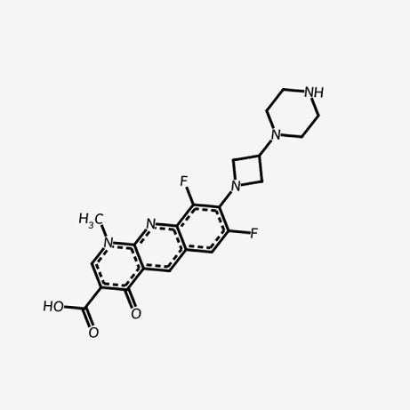 Cn1cc(C(=O)O)c(=O)c2cc3cc(F)c(N4CC(N5CCNCC5)C4)c(F)c3nc21